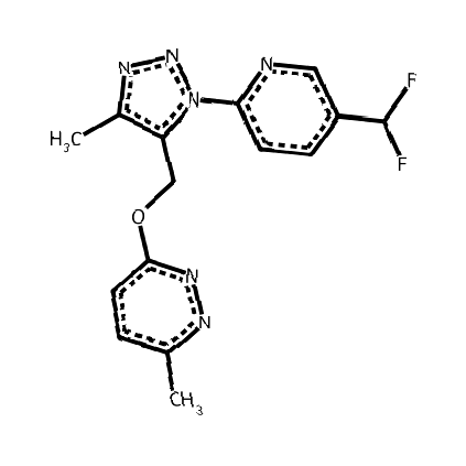 Cc1ccc(OCc2c(C)nnn2-c2ccc(C(F)F)cn2)nn1